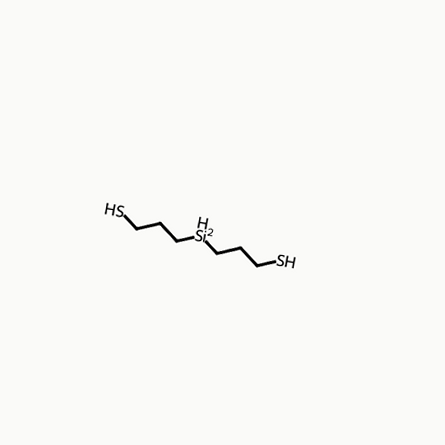 SCCC[SiH2]CCCS